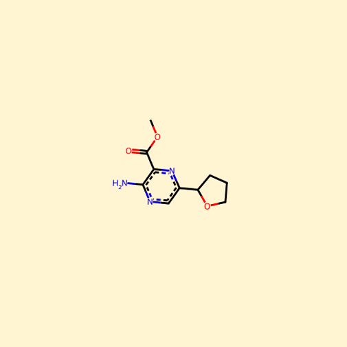 COC(=O)c1nc(C2CCCO2)cnc1N